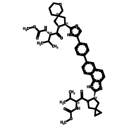 COC(=O)N[C@H](C(=O)N1C[C@]2(CCCOC2)C[C@H]1c1ncc(-c2ccc(-c3ccc4c(ccc5nc([C@@H]6CC7(CC7)CN6C(=O)[C@@H](NC(=O)OC)C(C)C)[nH]c54)c3)cc2)[nH]1)C(C)C